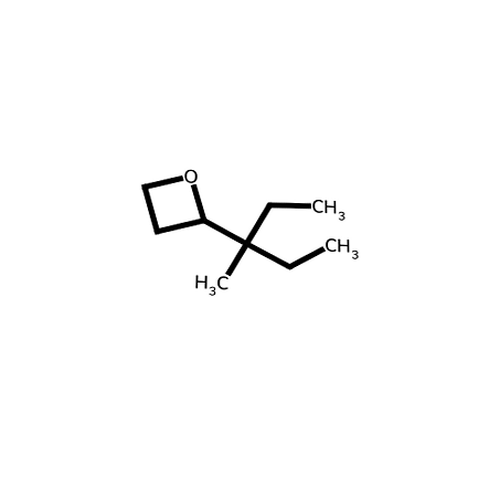 CCC(C)(CC)C1CCO1